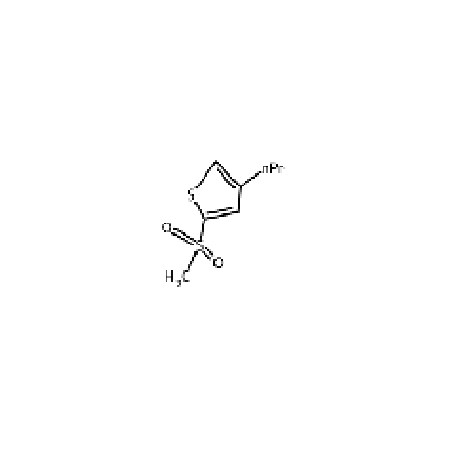 CC[CH]c1csc(S(C)(=O)=O)c1